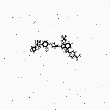 COc1cc(S(=O)(=O)Nc2ccon2)ccc1NCC#Cc1cc2c(NC3CCC(N(C)C)CC3)cccc2n1CC(F)(F)F